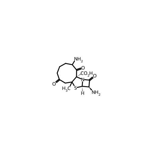 CC12CC(=O)CCCC(N)C(=O)[C@@]1(C(=O)O)N1C(=O)[C@@H](N)[C@H]1S2